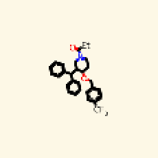 CCC(=O)N1CCC(OCc2ccc(C(F)(F)F)cc2)C(C(c2ccccc2)c2ccccc2)C1